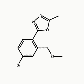 COCc1cc(Br)ccc1-c1nnc(C)o1